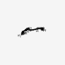 CC(C)(C)OC(=O)[C@H](CCC(=O)NCCOCCOCCNC(=O)CCCC[C@@H]1SC[C@@H]2NC(=O)N[C@@H]21)NC(=O)c1ccc(NCc2cnc3nc(N)nc(O)c3n2)cc1